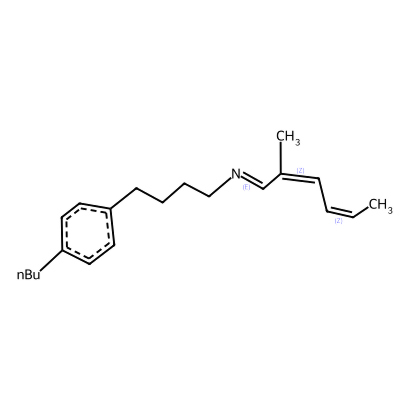 C\C=C/C=C(C)\C=N\CCCCc1ccc(CCCC)cc1